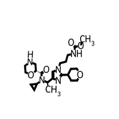 COC(=O)NCCCn1cc([C@@H](C)N(C(=O)[C@H]2CNCCO2)C2CC2)nc1C1CCOCC1